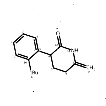 C=C1CCC(c2ccccc2C(C)(C)C)C(=O)N1